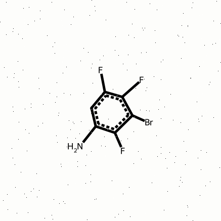 Nc1cc(F)c(F)c(Br)c1F